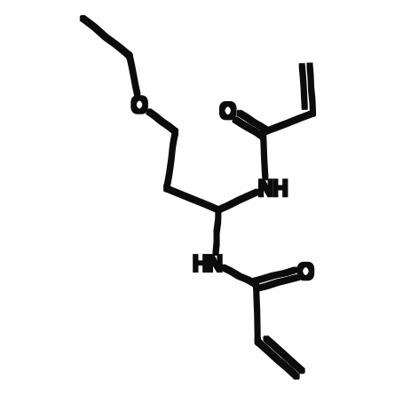 C=CC(=O)NC(CCOCC)NC(=O)C=C